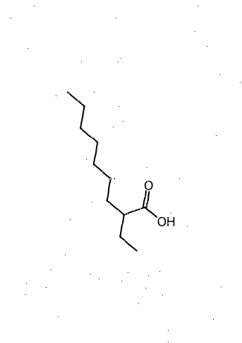 CCCCC[CH]CC(CC)C(=O)O